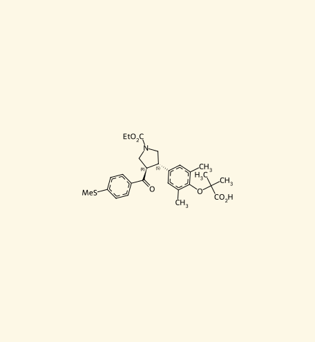 CCOC(=O)N1C[C@H](C(=O)c2ccc(SC)cc2)[C@@H](c2cc(C)c(OC(C)(C)C(=O)O)c(C)c2)C1